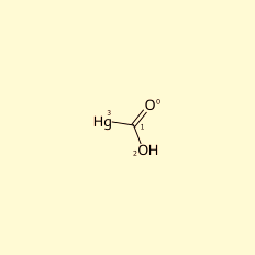 O=[C](O)[Hg]